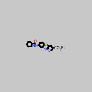 CCOC(=O)c1cnc(Nc2cccc(NC(=O)C3CCCCC3)c2)c(Cl)c1